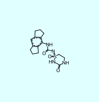 O=C(N=S1(=O)CCNC(=O)N1)Nc1c2c(cc3c1CCC3)CCC2